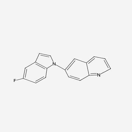 Fc1ccc2c(ccn2-c2ccc3ncccc3c2)c1